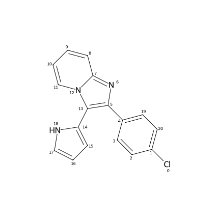 Clc1ccc(-c2nc3ccccn3c2-c2ccc[nH]2)cc1